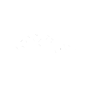 CC(C)Nc1cc(Nc2ccc3ncsc3c2)ncc1-c1nnc(-c2ccc(F)c(S(=O)(=O)NC3CC3)c2)o1